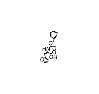 O=C(NC(=Cc1ccco1)C(=O)O)OCc1ccccc1